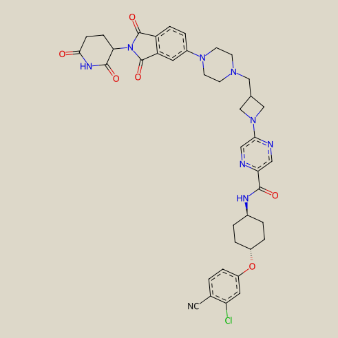 N#Cc1ccc(O[C@H]2CC[C@H](NC(=O)c3cnc(N4CC(CN5CCN(c6ccc7c(c6)C(=O)N(C6CCC(=O)NC6=O)C7=O)CC5)C4)cn3)CC2)cc1Cl